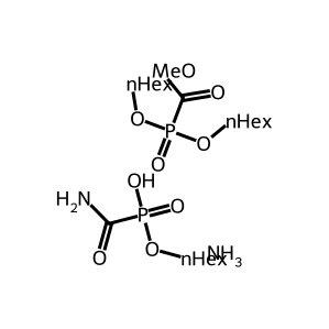 CCCCCCOP(=O)(O)C(N)=O.CCCCCCOP(=O)(OCCCCCC)C(=O)OC.N